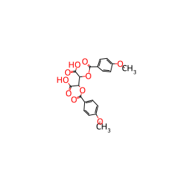 COc1ccc(C(=O)OC(C(=O)O)C(OC(=O)c2ccc(OC)cc2)C(=O)O)cc1